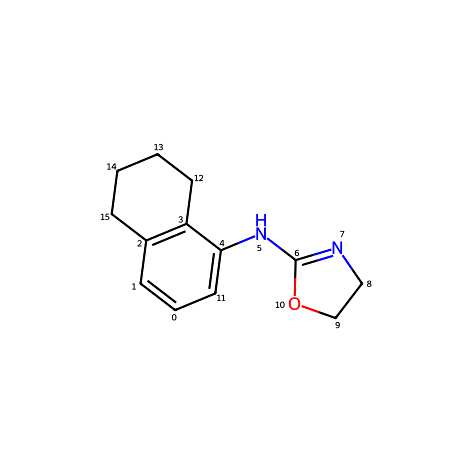 c1cc2c(c(NC3=NCCO3)c1)CCCC2